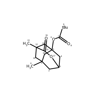 CC12CC3CC(OC(=O)C(C)(C)C)(C1)CC(C)(C2)C(=O)O3